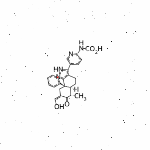 C[C@@H]1C(=O)C(=CO)C[C@]2(c3ccccc3)c3n[nH]c(-c4ccc(NC(=O)O)nc4)c3CC[C@@H]12